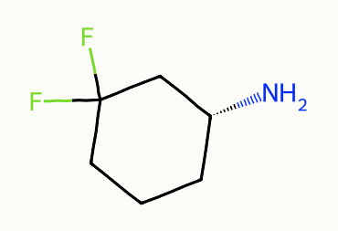 N[C@@H]1CCCC(F)(F)C1